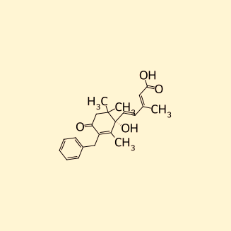 CC(C=C[C@@]1(O)C(C)=C(Cc2ccccc2)C(=O)CC1(C)C)=CC(=O)O